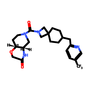 O=C1CO[C@H]2CCN(C(=O)N3CC4(CCC(Cc5ccc(C(F)(F)F)cn5)CC4)C3)C[C@H]2N1